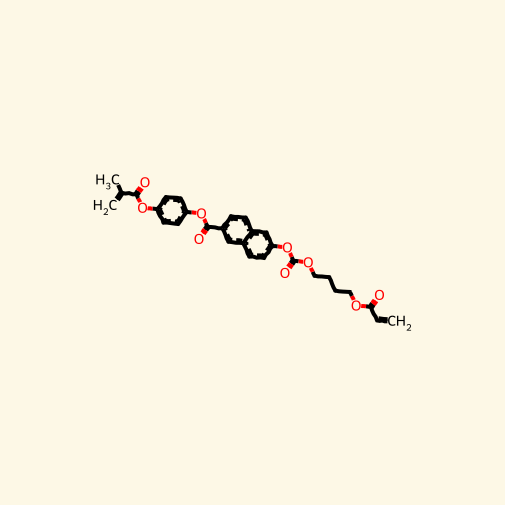 C=CC(=O)OCCCCOC(=O)Oc1ccc2cc(C(=O)Oc3ccc(OC(=O)C(=C)C)cc3)ccc2c1